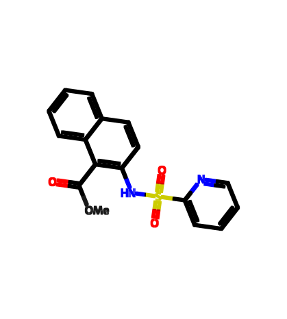 COC(=O)c1c(NS(=O)(=O)c2ccccn2)ccc2ccccc12